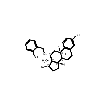 C[C@@]12[C@@H](O)CC[C@H]1[C@@H]1CCc3cc(O)ccc3[C@H]1C[C@H]2NCc1ccccc1O